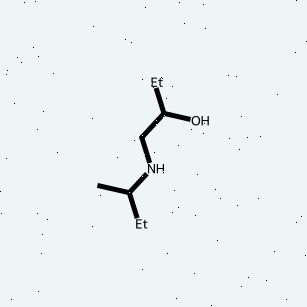 CCC(O)CNC(C)CC